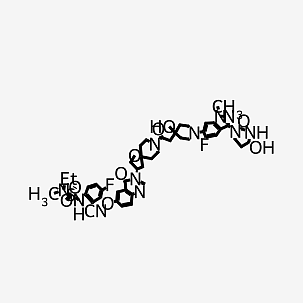 CCN(C)S(=O)(=O)Nc1ccc(F)c(Oc2ccc3ncn([C@H]4COC5(CCN(C(=O)CC6(O)CCN(c7cc8c(cc7F)c(N7CCC(O)NC7=O)nn8C)CC6)CC5)C4)c(=O)c3c2)c1C#N